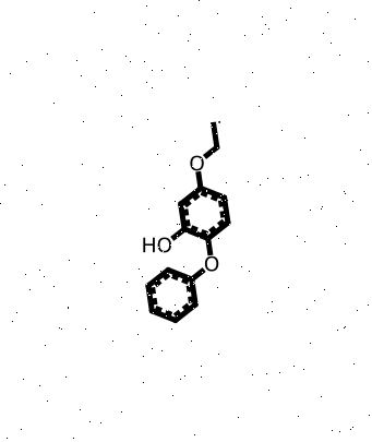 [CH2]COc1ccc(Oc2ccccc2)c(O)c1